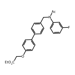 CCOC(=O)COc1ccc(-c2ccc(CN(C(C)=O)c3cccc(F)c3)cc2)cc1